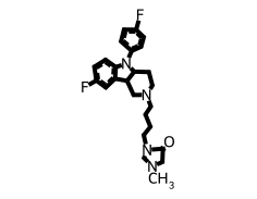 CN1CC(=O)N(CCCCN2CCC3C(C2)c2cc(F)ccc2N3c2ccc(F)cc2)C1